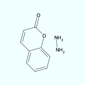 NN.O=c1ccc2ccccc2o1